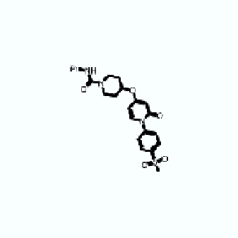 CC(C)NC(=O)N1CCC(Oc2ccn(-c3ccc(S(C)(=O)=O)cc3)c(=O)c2)CC1